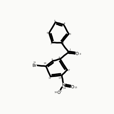 O=C(c1ccccc1)c1cc(Br)cc([N+](=O)[O-])c1